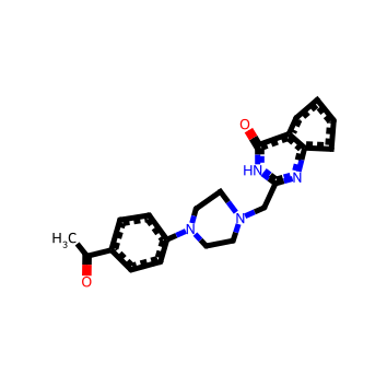 CC(=O)c1ccc(N2CCN(Cc3nc4ccccc4c(=O)[nH]3)CC2)cc1